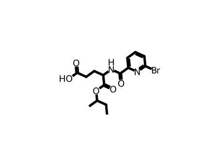 CCC(C)OC(=O)C(CCC(=O)O)NC(=O)c1cccc(Br)n1